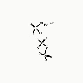 O=P(O)(O)O.O=P([O-])([O-])OP(=O)([O-])[O-].[Fe+2].[Fe+2]